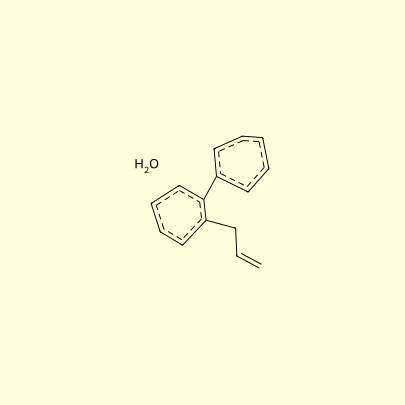 C=CCc1ccccc1-c1ccccc1.O